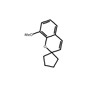 COc1cccc2c1OC1(C=C2)CCCC1